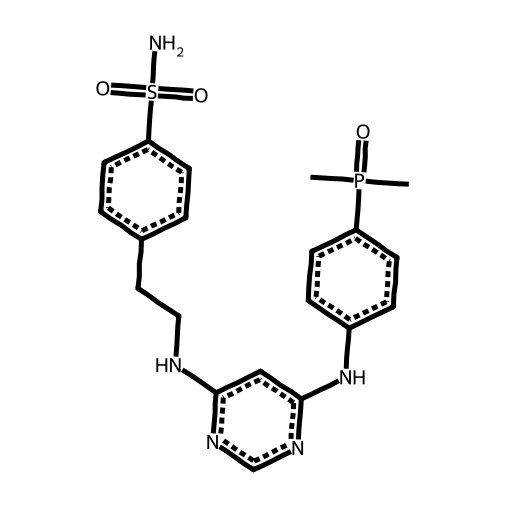 CP(C)(=O)c1ccc(Nc2cc(NCCc3ccc(S(N)(=O)=O)cc3)ncn2)cc1